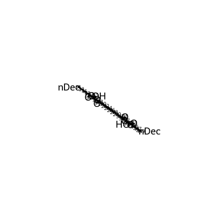 CCCCCCCCCCCCCCCCCC(=O)OCC(O)COC(=O)CCCCCCCC=CCCCCCCCC(=O)OC[C@@H](O)COC(=O)CCCCCCCCCCCCCCC